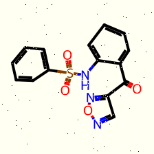 O=C(c1cnon1)c1ccccc1NS(=O)(=O)c1ccccc1